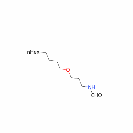 CCCCCCCCCCOCCCNC=O